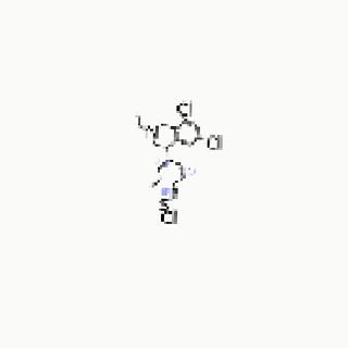 CC\C=C(/C=C\C=C\SCl)C1CN(CC)Cc2c(Cl)cc(Cl)cc21